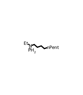 CCCCCCCCCN(P)CC